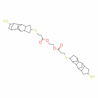 O=C(CCSC1CC2C(C1)C1CC2C2C3CC(S)C(C3)C12)OCCOC(=O)CCSC1CC2CC1C1C3CC(C4CC(S)CC43)C21